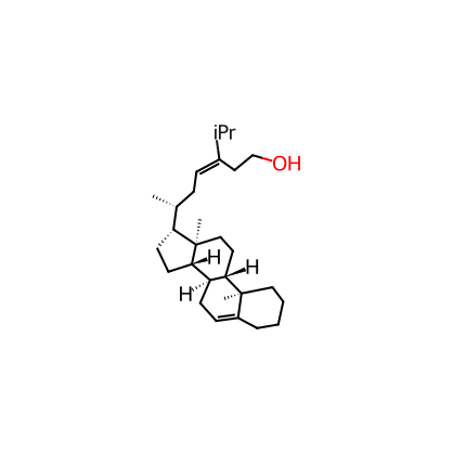 CC(C)C(=CC[C@@H](C)[C@H]1CC[C@H]2[C@@H]3CC=C4CCCC[C@]4(C)[C@H]3CC[C@]12C)CCO